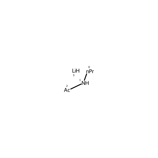 CCCNC(C)=O.[LiH]